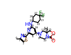 Cc1csc(-c2cc(N3CCN4C(=O)OC[C@@H]4C3)cc(NC3CCC(F)(F)CC3)n2)n1